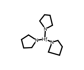 C1CC[N]([Hf]([N]2CCCC2)[N]2CCCC2)C1